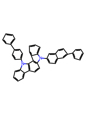 c1ccc(-c2ccc(-n3c4ccccc4c4ccc5c(c6ccccc6n5-c5ccc6cc(-c7ccccc7)ccc6c5)c43)cc2)cc1